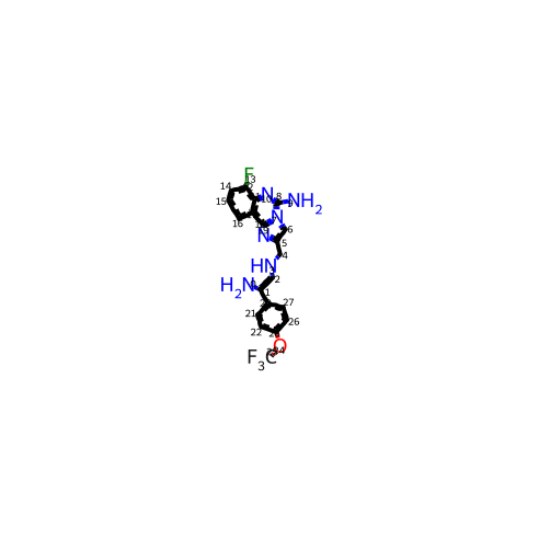 N/C(=C\NCc1cn2c(N)nc3c(F)cccc3c2n1)c1ccc(OC(F)(F)F)cc1